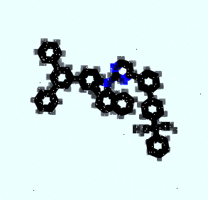 C[Si](C)(c1ccccc1)c1ccc(-c2cccc(-c3ccnc(-n4c5ccc(-c6cc(-c7ccccc7)cc(-c7ccccc7)c6)cc5c5ccc6ccccc6c54)n3)c2)cc1